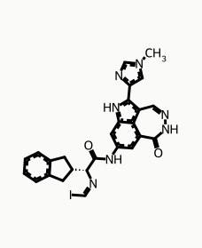 Cn1cnc(-c2[nH]c3cc(NC(=O)[C@H](/N=C\I)C4Cc5ccccc5C4)cc4c3c2C=NNC4=O)c1